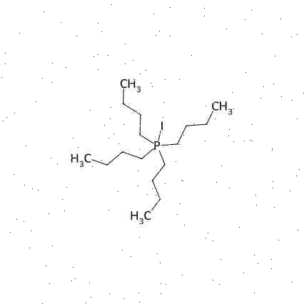 CCCCP(I)(CCCC)(CCCC)CCCC